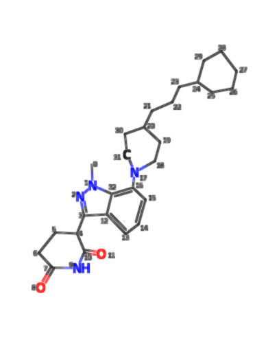 Cn1nc(C2CCC(=O)NC2=O)c2cccc(N3CCC(CCCC4CCCCC4)CC3)c21